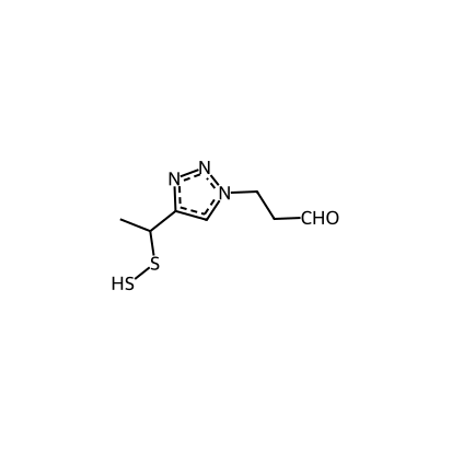 CC(SS)c1cn(CCC=O)nn1